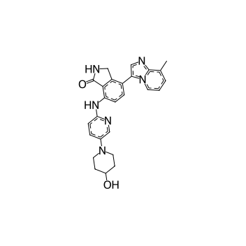 Cc1cccn2c(-c3ccc(Nc4ccc(N5CCC(O)CC5)cn4)c4c3CNC4=O)cnc12